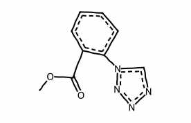 COC(=O)c1ccccc1-n1cnnn1